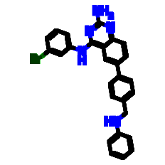 Nc1nc(Nc2cccc(Br)c2)c2cc(-c3ccc(CNc4ccccc4)cc3)ccc2n1